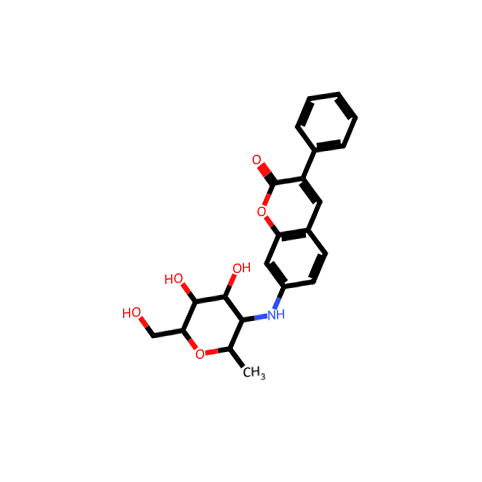 CC1OC(CO)C(O)C(O)C1Nc1ccc2cc(-c3ccccc3)c(=O)oc2c1